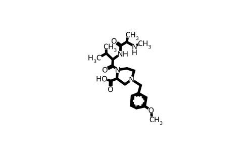 CNC(C)C(=O)NC(C(=O)N1CCN(Cc2cccc(OC)c2)CC1C(=O)O)C(C)C